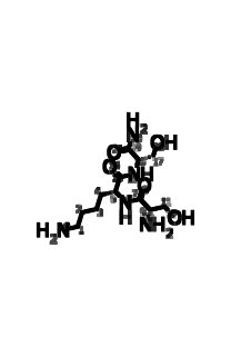 NCCCC[C@H](NC(=O)[C@@H](N)CO)C(=O)N[C@@H](CO)C(N)=O